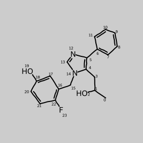 CC(O)Cc1c(-c2ccccc2)ncn1Cc1cc(O)ccc1F